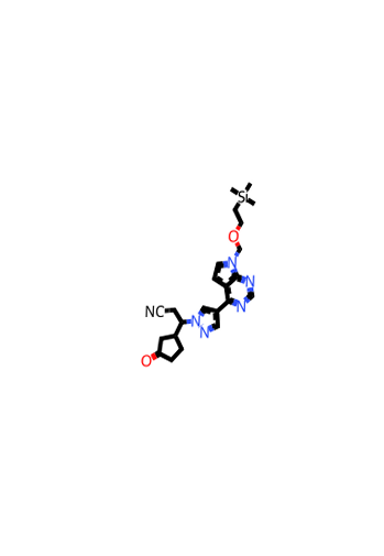 C[Si](C)(C)CCOCn1ccc2c(-c3cnn(C(CC#N)C4CCC(=O)C4)c3)ncnc21